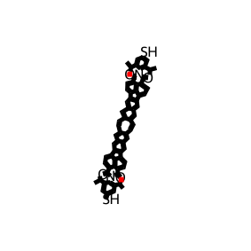 CC(C)c1cc(S)cc(C(C)C)c1-n1c(=O)c2ccc3c4cc5cc6ccc7cc8cc9c(cc8cc7ccc6cc5cc4c4ccc(c1=O)c2c34)c1ccc2c(=O)n(-c3c(C(C)C)cc(S)cc3C(C)C)c(=O)c3ccc9c1c32